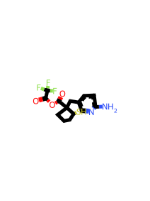 Nc1ccc(CC2(C(=O)OC(=O)C(F)(F)F)CCCC2S)cn1